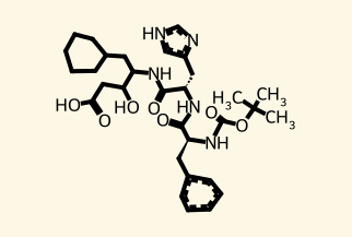 CC(C)(C)OC(=O)N[C@@H](Cc1ccccc1)C(=O)N[C@@H](Cc1c[nH]cn1)C(=O)NC(CC1CCCCC1)C(O)CC(=O)O